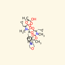 C[C@@H](OC(=O)[C@H](CC1CC1)N(C)C(=O)[C@@H](Cc1ccc(N2CCOCC2)cc1)OC(=O)[C@H](CC1CC1)N(C)C(=O)OC(C)(C)C)C(=O)O